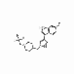 Fc1ccc2c(-c3cnn(CC4CCN(CC(F)(F)F)CC4)c3)c[nH]c2c1